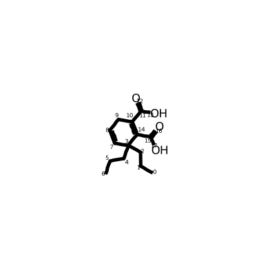 CCCC1(CCC)C=CCC(C(=O)O)=C1C(=O)O